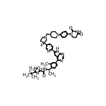 Cc1cc(-c2ncnc3[nH]c(-c4ccc(C5(F)CCN(CC6CCN(c7ccc(N8CCC(=O)NC8=O)cc7)CC6)C5)cn4)cc23)ccc1[C@@H](C)NC(=O)c1nc(C(C)(C)C)no1